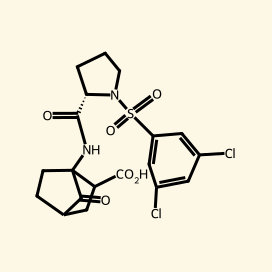 O=C(O)C1CC2CCC1(NC(=O)[C@@H]1CCCN1S(=O)(=O)c1cc(Cl)cc(Cl)c1)C2=O